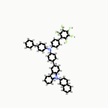 Fc1c(F)c(F)c(-c2ccc(N(c3ccc(-c4ccccc4)cc3)c3ccc(-c4ccc5c(c4)c4ccccc4n5-c4ccc5ccccc5c4)cc3)cc2)c(F)c1F